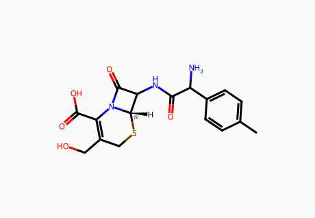 Cc1ccc(C(N)C(=O)NC2C(=O)N3C(C(=O)O)=C(CO)CS[C@@H]23)cc1